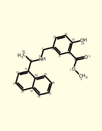 COC(=O)c1cc(CNC(C)c2cccc3ccccc23)ccc1O